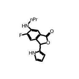 CCCNc1cc2c(cc1F)C(c1ccc[nH]1)OC2=O